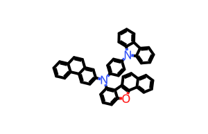 c1ccc2c(c1)ccc1cc(N(c3ccc(-n4c5ccccc5c5ccccc54)cc3)c3cccc4oc5c6ccccc6ccc5c34)ccc12